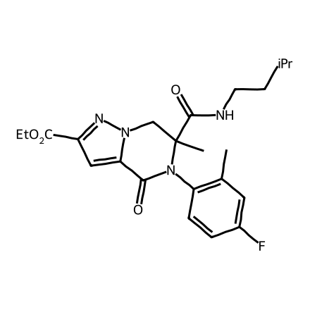 CCOC(=O)c1cc2n(n1)CC(C)(C(=O)NCCC(C)C)N(c1ccc(F)cc1C)C2=O